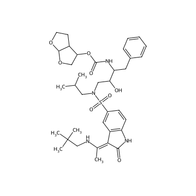 CC(NCC(C)(C)C)=C1C(=O)Nc2ccc(S(=O)(=O)N(CC(C)C)CC(O)C(Cc3ccccc3)NC(=O)OC3COC4OCCC34)cc21